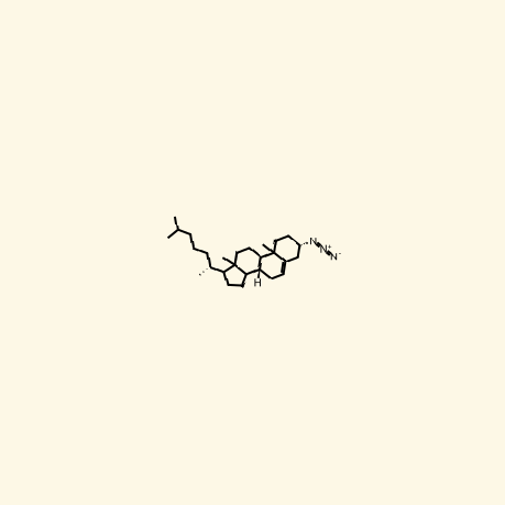 CC(C)CCC[C@@H](C)C1CCC2[C@H]3CC=C4C[C@@H](N=[N+]=[N-])CCC4(C)C3CCC21C